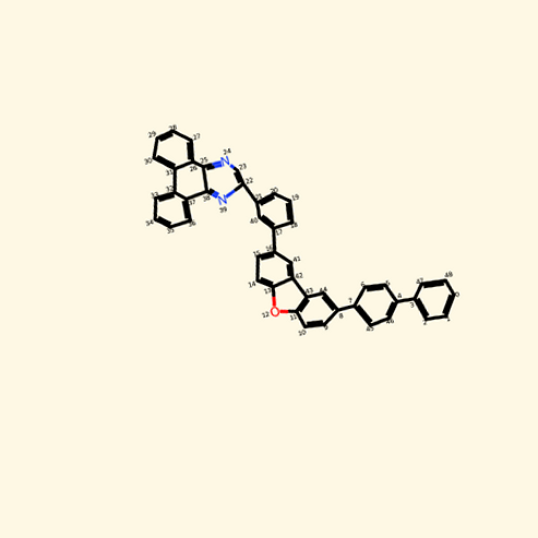 c1ccc(-c2ccc(-c3ccc4oc5ccc(-c6cccc(-c7cnc8c9ccccc9c9ccccc9c8n7)c6)cc5c4c3)cc2)cc1